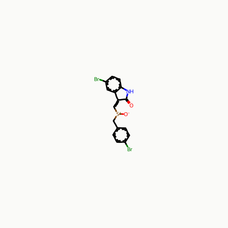 O=C1Nc2ccc(Br)cc2C1=C[S+]([O-])Cc1ccc(Br)cc1